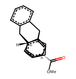 COC(=O)[C@@H]1C=C[C@H]2C(=C1)C1c3ccccc3C2c2ccccc21